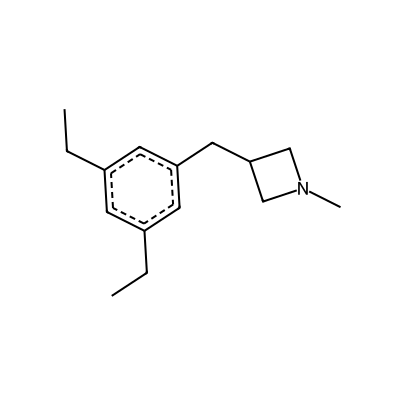 CCc1cc(CC)cc(CC2CN(C)C2)c1